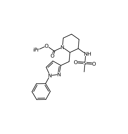 CC(C)OC(=O)N1CCCC(NS(C)(=O)=O)C1Cc1ccn(-c2ccccc2)n1